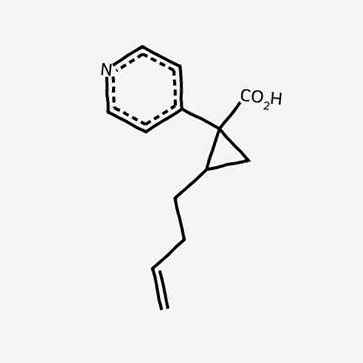 C=CCCC1CC1(C(=O)O)c1ccncc1